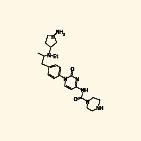 CCN(C(C)Cc1ccc(-n2ccc(NC(=O)N3CCNCC3)nc2=O)cc1)C1CC[C@@H](N)C1